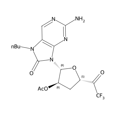 CCCCn1c(=O)n([C@@H]2O[C@H](C(=O)C(F)(F)F)C[C@H]2OC(C)=O)c2nc(N)ncc21